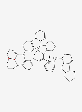 C[C@]1(C2=CCCC3C2C2CCCCC2C32C3=C(CCC(N(C4=CCCCC4)C4=C(C5CCCCC5)CCC=C4)C3)C3CCC=CC32)C=CC=CC1NC1CCC=C2C3C=CCCC3SC21